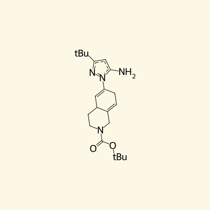 CC(C)(C)OC(=O)N1CCC2C=C(n3nc(C(C)(C)C)cc3N)CC=C2C1